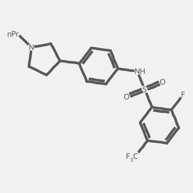 CCCN1CCC(c2ccc(NS(=O)(=O)c3cc(C(F)(F)F)ccc3F)cc2)C1